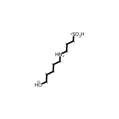 O=S(=O)(O)CCCNCCCCCO